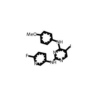 COc1ccc(Nc2nc(Nc3ccc(F)nc3)ncc2I)cc1